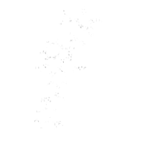 COc1cc(C(=O)Nc2cccc(C(F)(F)F)c2)ccc1-n1nc([C@@H]2CC[C@H](C)N(C(=O)C3CC3)C2)c2ccnc(N)c21